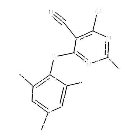 Cc1cc(C)c(Oc2nc(C)nc(Cl)c2C#N)c(C)c1